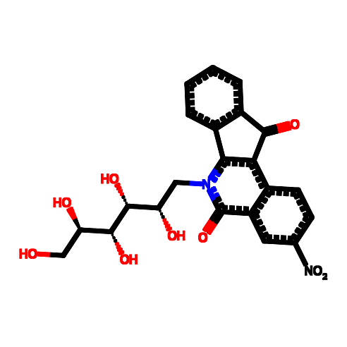 O=C1c2ccccc2-c2c1c1ccc([N+](=O)[O-])cc1c(=O)n2C[C@H](O)[C@@H](O)[C@H](O)[C@H](O)CO